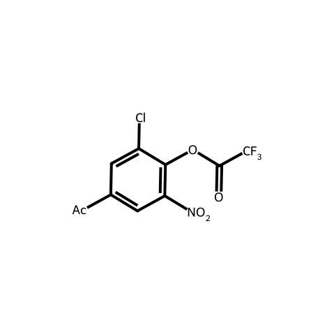 CC(=O)c1cc(Cl)c(OC(=O)C(F)(F)F)c([N+](=O)[O-])c1